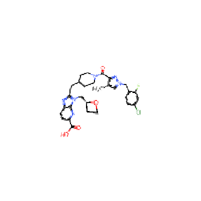 Cc1cn(Cc2ccc(Cl)cc2F)nc1C(=O)N1CCC(Cc2nc3ccc(C(=O)O)nc3n2C[C@@H]2CCO2)CC1